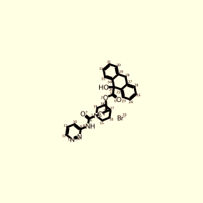 O=C(OC1C[N+]2(C(=O)Nc3cccnn3)CCC1CC2)C1(O)c2ccccc2Cc2ccccc21.[Br-]